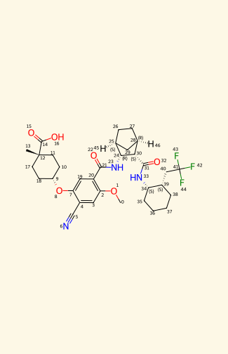 COc1cc(C#N)c(O[C@H]2CC[C@@](C)(C(=O)O)CC2)cc1C(=O)N[C@@H]1[C@H]2CC[C@H](C2)[C@@H]1C(=O)N[C@H]1CCCC[C@H]1CC(F)(F)F